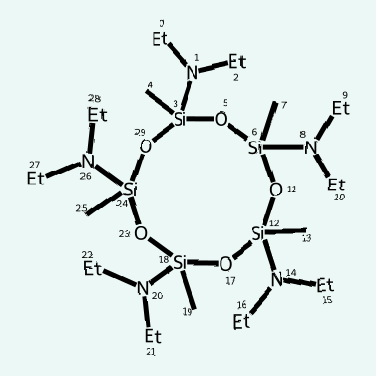 CCN(CC)[Si]1(C)O[Si](C)(N(CC)CC)O[Si](C)(N(CC)CC)O[Si](C)(N(CC)CC)O[Si](C)(N(CC)CC)O1